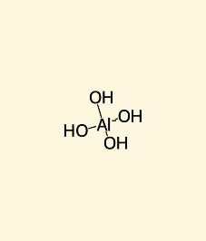 [OH][Al-]([OH])([OH])[OH]